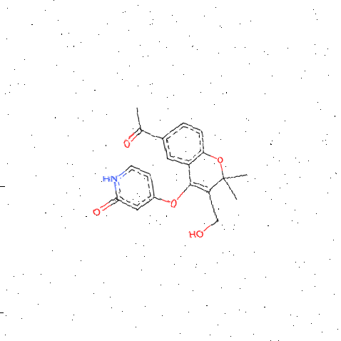 CC(=O)c1ccc2c(c1)C(Oc1cc[nH]c(=O)c1)=C(CO)C(C)(C)O2